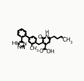 CCCCc1cc(C(=O)O)c(Cc2ccc(-c3ccccc3-c3nnn[nH]3)cc2C)c(=O)[nH]1